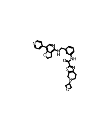 O=C(Nc1cccc(CNc2ncc(-c3ccncc3)c3c2CCO3)c1)c1nc2c(s1)CN(C1COC1)CC2